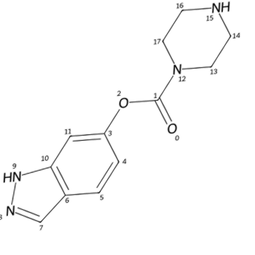 O=C(Oc1ccc2cn[nH]c2c1)N1CCNCC1